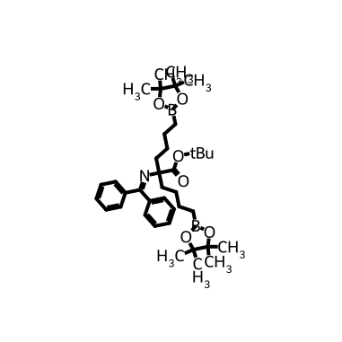 CC(C)(C)OC(=O)C(CCCCB1OC(C)(C)C(C)(C)O1)(CCCCB1OC(C)(C)C(C)(C)O1)N=C(c1ccccc1)c1ccccc1